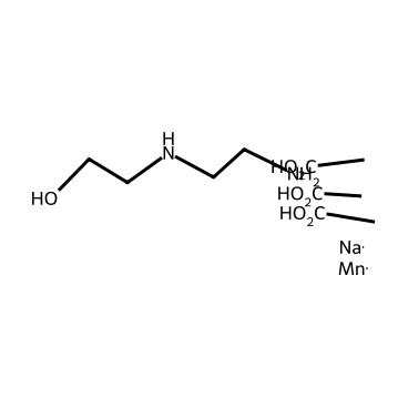 CC(=O)O.CC(=O)O.CC(=O)O.NCCNCCO.[Mn].[Na]